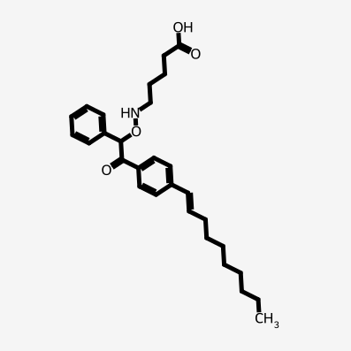 CCCCCCCCC=Cc1ccc(C(=O)C(ONCCCCC(=O)O)c2ccccc2)cc1